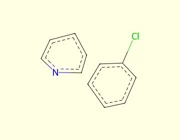 Clc1ccccc1.c1ccncc1